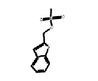 CS(=O)(=O)OCc1cc2ccccc2s1